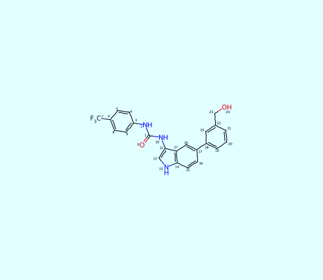 O=C(Nc1ccc(C(F)(F)F)cc1)Nc1c[nH]c2ccc(-c3cccc(CO)c3)cc12